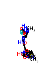 Cc1ncsc1-c1ccc(CNC(=O)[C@@H]2C[C@@H](O)CN2C(=O)C(NC(=O)CCCCCCCCCC(=O)NCCN2CCN(Cc3cccc(-c4ccc(N5CCN(C)CC5)c(NC(=O)c5c[nH]c(=O)cc5C(F)(F)F)c4)c3)CC2)C(C)(C)C)cc1